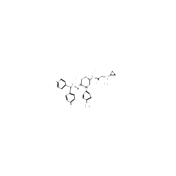 O=C(CNC1CC1)N[C@@H]1CC[C@@H](C(=O)NC(c2ccc(F)cc2)c2ccc(F)cc2)[C@H](c2ccc(Br)cc2)C1